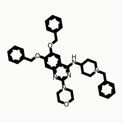 c1ccc(COc2cc3nc(N4CCOCC4)nc(NC4CCN(Cc5ccccc5)CC4)c3cc2OCc2ccccc2)cc1